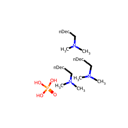 CCCCCCCCCCCN(C)C.CCCCCCCCCCCN(C)C.CCCCCCCCCCCN(C)C.O=P(O)(O)O